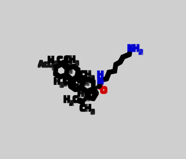 C=C(C)[C@@H]1CC[C@]2(C(=O)NCCCCCCCN)CC[C@]3(C)[C@H](CCC4[C@@]5(C)CC[C@H](OC(C)=O)C(C)(C)[C@@H]5CC[C@]43C)[C@@H]12